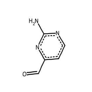 Nc1nccc(C=O)n1